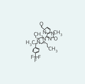 CCC[C@H]1CN(C(C)c2ccc(C(F)(F)F)cc2)[C@H](CC)CN1c1nc(=O)n(C)c2ccc(C=O)nc12